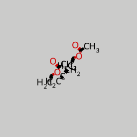 C=C=C.C=COC(C)=O.C=COC(C)=O